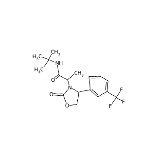 CC(C(=O)NC(C)(C)C)N1C(=O)OCC1c1cccc(C(F)(F)F)c1